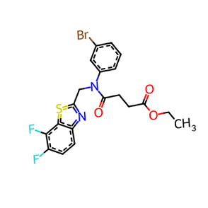 CCOC(=O)CCC(=O)N(Cc1nc2ccc(F)c(F)c2s1)c1cccc(Br)c1